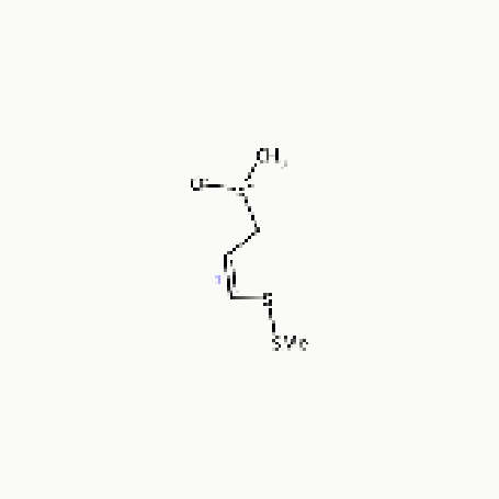 CSS/C=C\C[S+](C)[O-]